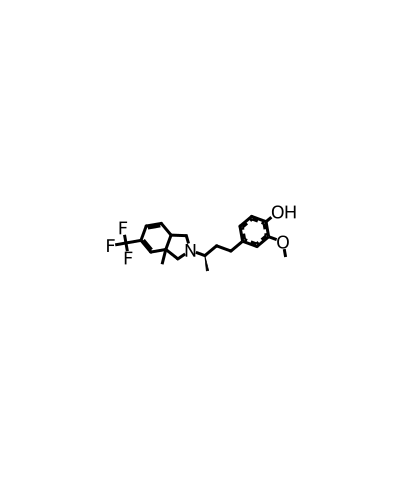 COc1cc(CC[C@@H](C)N2CC3C=CC(C(F)(F)F)=CC3(C)C2)ccc1O